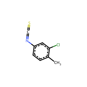 Cc1ccc(N=C=S)cc1Cl